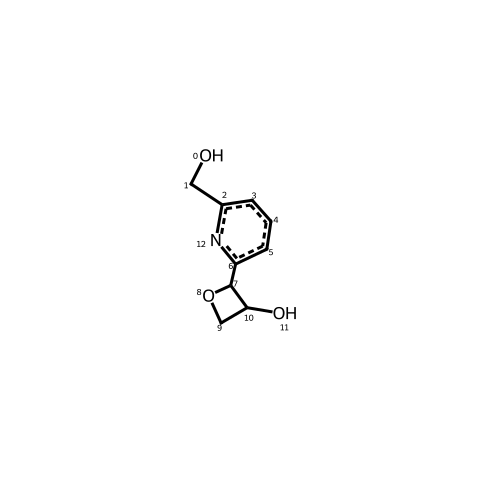 OCc1cccc(C2OCC2O)n1